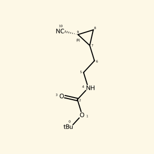 CC(C)(C)OC(=O)NCCC1C[C@H]1C#N